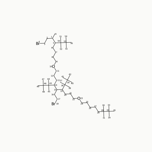 CC(CCBr)C(CCCCOCCCC(C(CCBr)C(CCCOCCCCCC(C)(C)C(C)(C)C)C(C)(C)C(C)(C)C)C(C)(C)C(C)(C)C)C(C)(C)C(C)(C)C